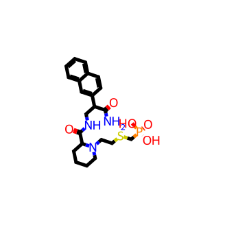 NC(=O)C(CNC(=O)C1CCCCN1CCSCP(=O)(O)O)c1ccc2ccccc2c1